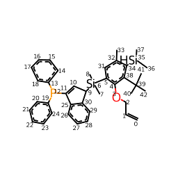 C=CCOc1c([Si](C)(C)C2C=C(P(c3ccccc3)c3ccccc3)c3ccccc32)cc(C)c([SiH](C)C)c1C(C)(C)C